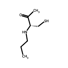 CCCN[C@@H](CS)C(C)=O